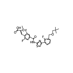 COC(=Cc1c(F)cc(C(=O)Nc2nc(-c3cccc(COCC(C)(C)C)c3F)cs2)cc1F)C(=O)O